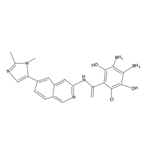 Bc1c(B)c(O)c(C(=C)Nc2cc3cc(-c4cnc(C)n4C)ccc3cn2)c(Cl)c1O